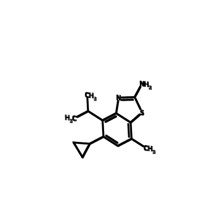 Cc1cc(C2CC2)c(C(C)C)c2nc(N)sc12